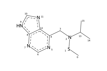 CSN(Cc1ncnc2[nH]cnc12)C(C)C